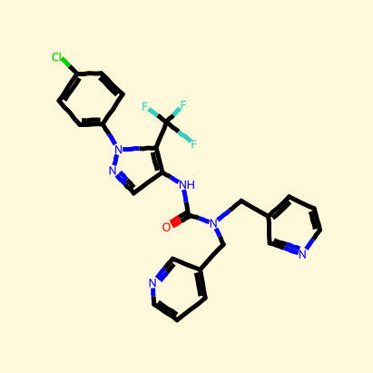 O=C(Nc1cnn(-c2ccc(Cl)cc2)c1C(F)(F)F)N(Cc1cccnc1)Cc1cccnc1